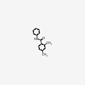 Cc1ccc(C(=O)Nc2ccccc2)c(C)c1